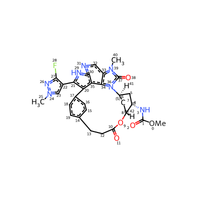 COC(=O)N[C@H]1C[C@H]2C[C@H]1OC(=O)CCc1ccc(cc1)-c1c(-c3cn(C)nc3F)[nH]c3ncc4c(c13)n2c(=O)n4C